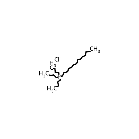 CCCCCCCCCCCCCC[P+](CCCC)(CCCC)CCCC.[Cl-]